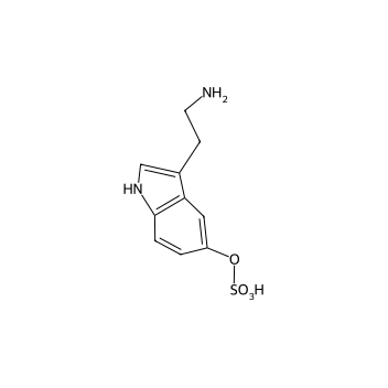 NCCc1c[nH]c2ccc(OS(=O)(=O)O)cc12